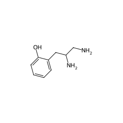 NCC(N)Cc1ccccc1O